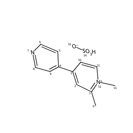 Cc1cc(-c2ccncc2)cc[n+]1C.O=S(=O)([O-])O